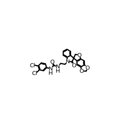 O=C(NCCN1C(=O)C2(COc3cc4c(cc32)OCO4)c2ccccc21)Nc1ccc(Cl)c(Cl)c1